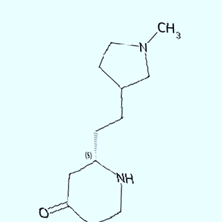 CN1CCC(CC[C@H]2CC(=O)CCN2)C1